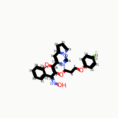 ON=c1c(OCCCOc2ccc(F)cc2)c(-c2cc3cccn3cn2)oc2ccccc12